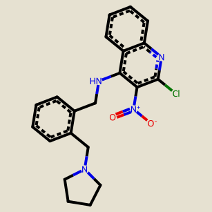 O=[N+]([O-])c1c(Cl)nc2ccccc2c1NCc1ccccc1CN1CCCC1